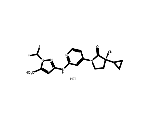 Cl.N#C[C@@]1(C2CC2)CCN(c2ccnc(Nc3cc(C(=O)O)n(C(F)F)n3)c2)C1=O